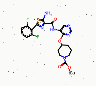 CC(C)(C)OC(=O)N1CCCC(Oc2ncncc2NC(=O)c2nc(-c3c(F)cccc3F)sc2N)CC1